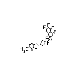 Cc1ccc(CCc2ccc(C(F)(F)Oc3cc(F)c4c(F)c(F)c(F)cc4c3)cc2)c(F)c1F